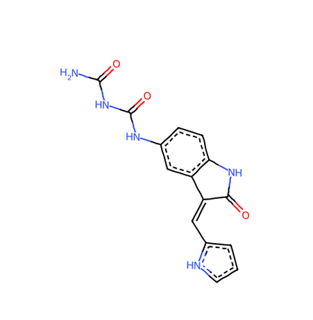 NC(=O)NC(=O)Nc1ccc2c(c1)/C(=C/c1ccc[nH]1)C(=O)N2